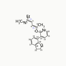 C=N/C(=C\C=C(/C)Oc1ncccc1-c1cccc2c1OCC2)CC